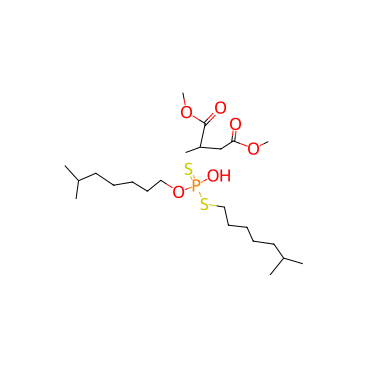 CC(C)CCCCCOP(O)(=S)SCCCCCC(C)C.COC(=O)CC(C)C(=O)OC